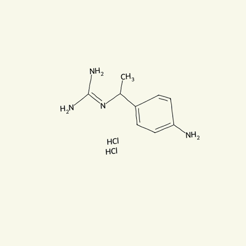 CC(N=C(N)N)c1ccc(N)cc1.Cl.Cl